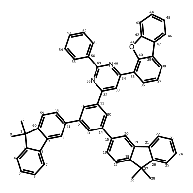 CC1(C)c2ccccc2-c2cc(-c3cc(-c4ccc5c(c4)-c4ccccc4C5(C)C)cc(-c4cc(-c5cccc6c5oc5ccccc56)nc(-c5ccccc5)n4)c3)ccc21